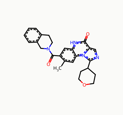 Cc1cc2c(cc1C(=O)N1CCc3ccccc3C1)[nH]c(=O)c1cnc(C3CCOCC3)n12